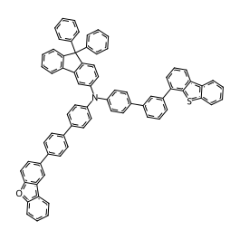 c1ccc(C2(c3ccccc3)c3ccccc3-c3cc(N(c4ccc(-c5ccc(-c6ccc7oc8ccccc8c7c6)cc5)cc4)c4ccc(-c5cccc(-c6cccc7c6sc6ccccc67)c5)cc4)ccc32)cc1